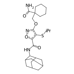 CC(C)Sc1c(OCC2(C(N)=O)CCCCC2)noc1C(=O)NC1C2CC3CC(C2)CC1C3